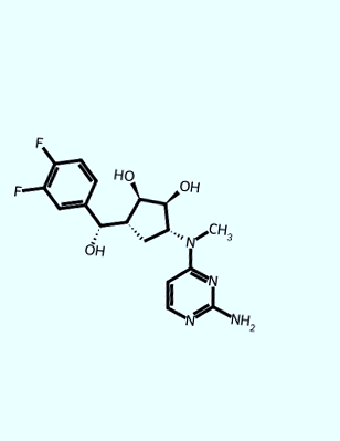 CN(c1ccnc(N)n1)[C@@H]1C[C@H]([C@H](O)c2ccc(F)c(F)c2)[C@@H](O)[C@H]1O